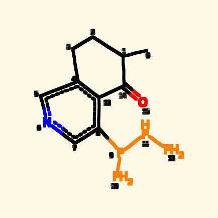 CC1CCc2cncc(P(P)PP)c2C1=O